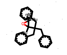 CCCCC1(CCCC)OC1(CCCC)C(Cc1ccccc1)(Cc1ccccc1)Cc1ccccc1